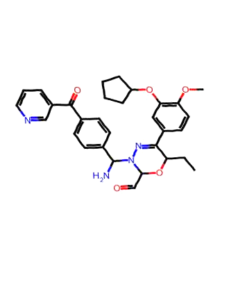 CCC1OC(C=O)N(C(N)c2ccc(C(=O)c3cccnc3)cc2)N=C1c1ccc(OC)c(OC2CCCC2)c1